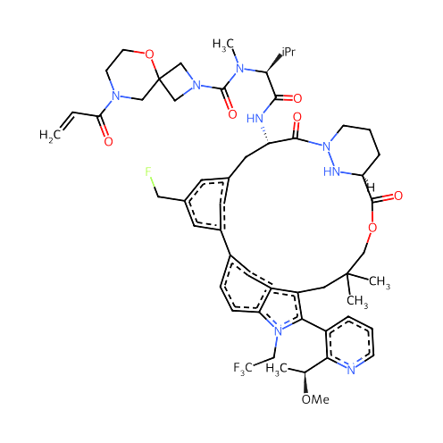 C=CC(=O)N1CCOC2(C1)CN(C(=O)N(C)[C@H](C(=O)N[C@H]1Cc3cc(CF)cc(c3)-c3ccc4c(c3)c(c(-c3cccnc3[C@H](C)OC)n4CC(F)(F)F)CC(C)(C)COC(=O)[C@@H]3CCCN(N3)C1=O)C(C)C)C2